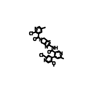 COc1cnc(Cl)cc1-c1cc(C)ncc1C(=O)Nc1nc2c(s1)CN(C(=O)c1cc(C)cnc1Cl)C2